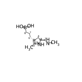 CNC[C@@H]1C[C@@H](CCCB(O)O)[C@@H](C)N1